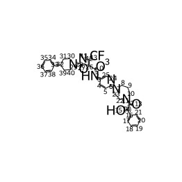 O=C(Nc1ccc(N2CCCN(C(=O)[C@H](O)c3ccccc3)CC2)nc1)c1oc(N2CCC(c3ccccc3)CC2)nc1C(F)(F)F